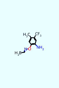 BC=NOc1cc(C)c(C(F)(F)F)cc1N